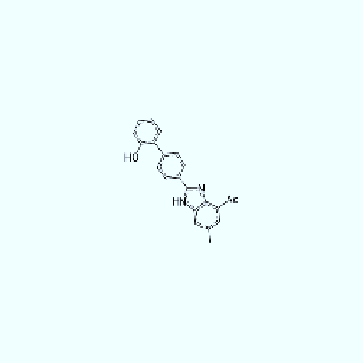 CC(=O)c1cc(C)cc2[nH]c(-c3ccc(-c4ccccc4O)cc3)nc12